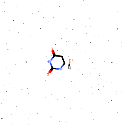 CCP.O=C1CCNC(=O)N1